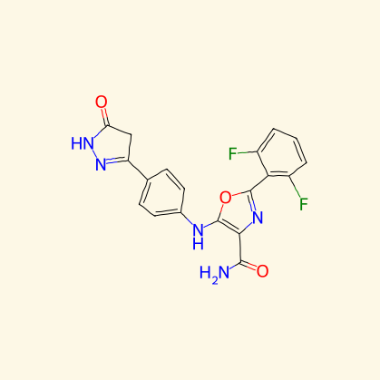 NC(=O)c1nc(-c2c(F)cccc2F)oc1Nc1ccc(C2=NNC(=O)C2)cc1